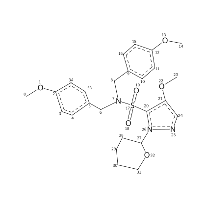 COc1ccc(CN(Cc2ccc(OC)cc2)S(=O)(=O)c2c(OC)cnn2C2CCCCO2)cc1